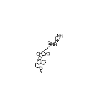 O=C(CCCCc1cc(Cl)c(COC2(c3cnccc3-c3ccccc3OC3CC3)CC2)cc1Cl)NCCN1CCNCC1